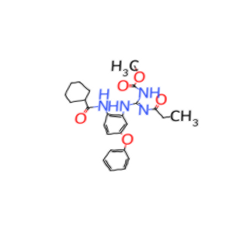 CCC(=O)N=C(NC(=O)OC)Nc1cc(Oc2ccccc2)ccc1NC(=O)C1CCCCC1